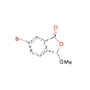 COC1OC(=O)c2cc(Br)ccc21